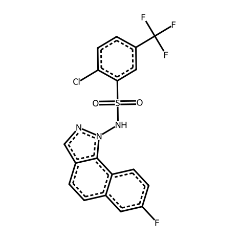 O=S(=O)(Nn1ncc2ccc3cc(F)ccc3c21)c1cc(C(F)(F)F)ccc1Cl